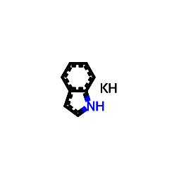 [KH].c1ccc2[nH]ccc2c1